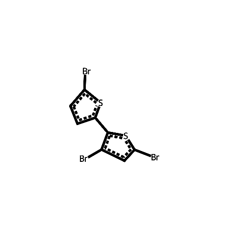 Brc1ccc(-c2sc(Br)cc2Br)s1